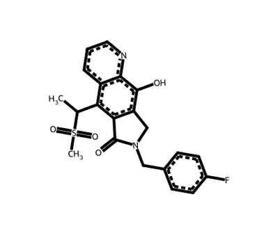 CC(c1c2c(c(O)c3ncccc13)CN(Cc1ccc(F)cc1)C2=O)S(C)(=O)=O